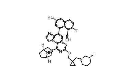 C#Cc1c(F)ccc2cc(O)cc(-c3cc4nc(OCC5(CN6CCC[C@H](F)C6)CC5)nc(N5C[C@H]6CC[C@@H](C5)N6)c4n4ccnc34)c12